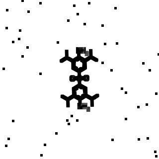 CC(C)c1cc(S(=O)(=O)c2cc(C(C)C)c(N)c(C(C)C)c2)cc(C(C)C)c1N